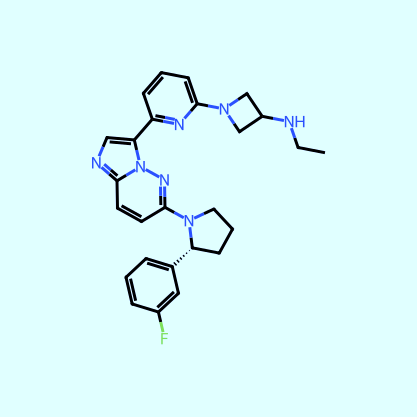 CCNC1CN(c2cccc(-c3cnc4ccc(N5CCC[C@@H]5c5cccc(F)c5)nn34)n2)C1